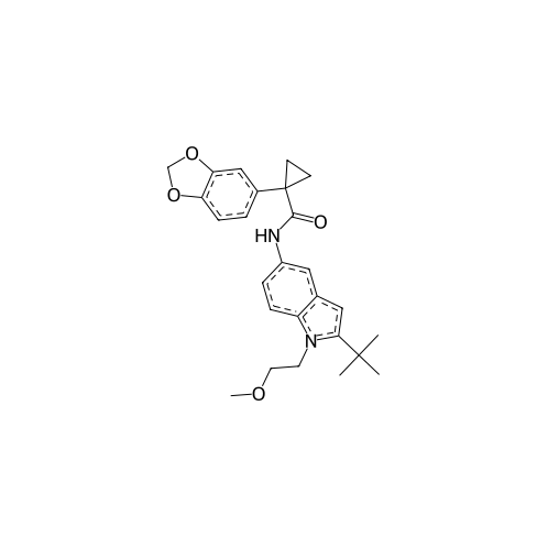 COCCn1c(C(C)(C)C)cc2cc(NC(=O)C3(c4ccc5c(c4)OCO5)CC3)ccc21